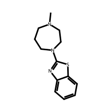 CN1CCCN(c2nc3ccccc3s2)CC1